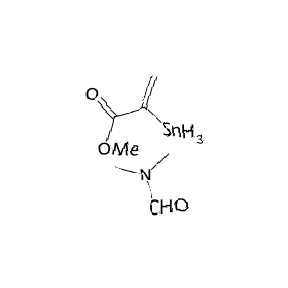 C=[C]([SnH3])C(=O)OC.CN(C)C=O